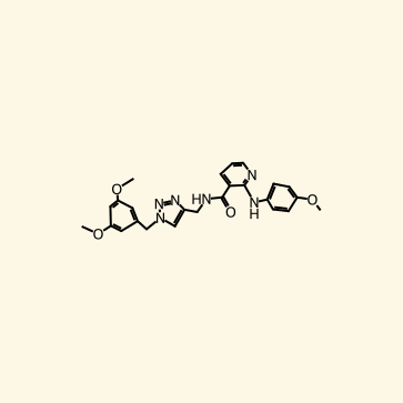 COc1ccc(Nc2ncccc2C(=O)NCc2cn(Cc3cc(OC)cc(OC)c3)nn2)cc1